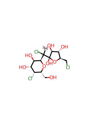 [2H]C(Cl)([C@H]1O[C@H](CO)[C@H](Cl)[C@H](O)[C@H]1O)[C@@]1(O)O[C@H](CCl)[C@@H](O)[C@@H]1O